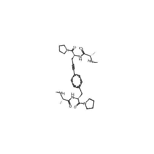 CN[C@@H](C)C(=O)N[C@@H](CC#Cc1ccc(C[C@H](NC(=O)[C@H](C)NC)C(=O)N2CCCC2)cc1)C(=O)N1CCCC1